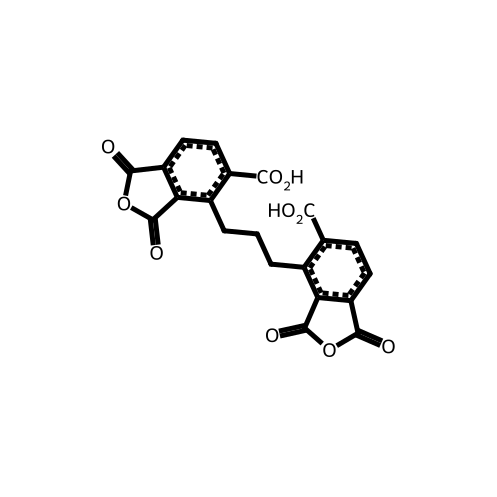 O=C(O)c1ccc2c(c1CCCc1c(C(=O)O)ccc3c1C(=O)OC3=O)C(=O)OC2=O